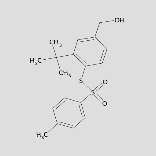 Cc1ccc(S(=O)(=O)Sc2ccc(CO)cc2C(C)(C)C)cc1